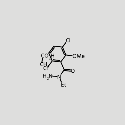 CC(=O)O.CCN(N)C(=O)c1c(Cl)ccc(Cl)c1OC